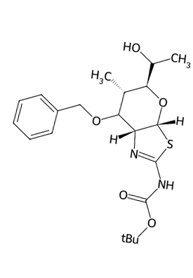 CC(O)[C@H]1O[C@@H]2SC(NC(=O)OC(C)(C)C)=N[C@@H]2C(OCc2ccccc2)[C@@H]1C